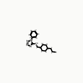 CCCC1CCC(CSc2nnnn2-c2ccccc2)CC1